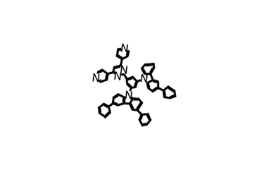 c1ccc(-c2ccc3c(c2)c2ccccc2n3-c2cc(-c3nc(-c4ccncc4)cc(-c4ccncc4)n3)cc(-n3c4ccc(-c5ccccc5)cc4c4cc(-c5ccccc5)ccc43)c2)cc1